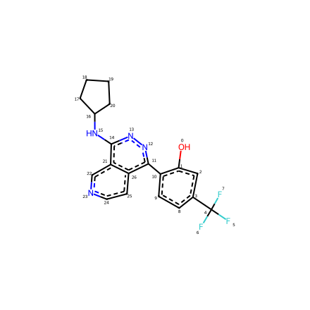 Oc1cc(C(F)(F)F)ccc1-c1nnc(NC2CCCC2)c2cnccc12